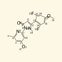 COc1cc(C)nc(-n2c(=O)cc(-c3c(F)cc(OC)cc3F)n2C)c1